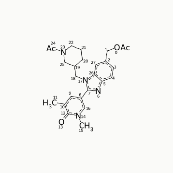 CC(=O)OCc1ccc2nc(-c3cc(C)c(=O)n(C)c3)n(CC3CCCN(C(C)=O)C3)c2c1